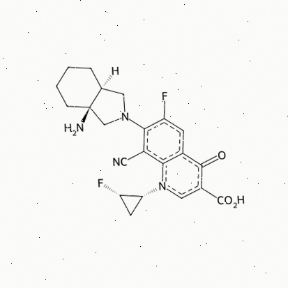 N#Cc1c(N2C[C@@H]3CCCC[C@@]3(N)C2)c(F)cc2c(=O)c(C(=O)O)cn([C@@H]3C[C@@H]3F)c12